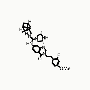 COc1ccc(CCn2cnc3cc(N/C(=N/CC4C[C@@H]5C[C@H]([C@H]4C)C5(C)C)N4C[C@@H](C)N[C@@H](C)C4)ccc3c2=O)c(F)c1